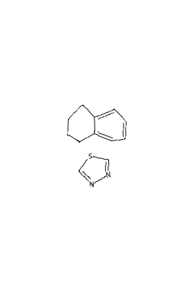 c1ccc2c(c1)CCCC2.c1nncs1